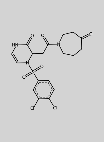 O=C1CCCN(C(=O)CC2C(=O)NC=CN2S(=O)(=O)c2ccc(Cl)c(Cl)c2)CC1